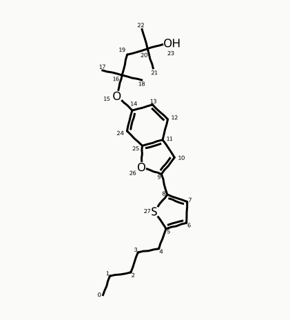 CCCCCc1ccc(-c2cc3ccc(OC(C)(C)CC(C)(C)O)cc3o2)s1